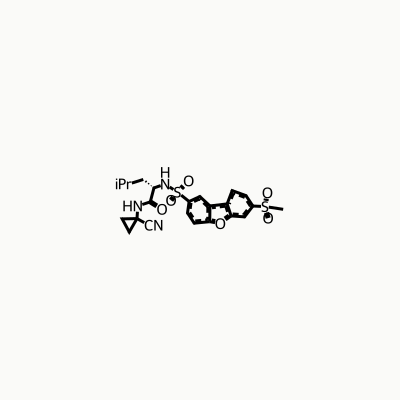 CC(C)C[C@H](NS(=O)(=O)c1ccc2oc3cc(S(C)(=O)=O)ccc3c2c1)C(=O)NC1(C#N)CC1